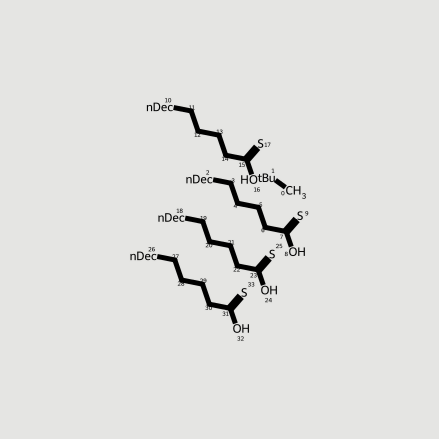 CC(C)(C)C.CCCCCCCCCCCCCCC(O)=S.CCCCCCCCCCCCCCC(O)=S.CCCCCCCCCCCCCCC(O)=S.CCCCCCCCCCCCCCC(O)=S